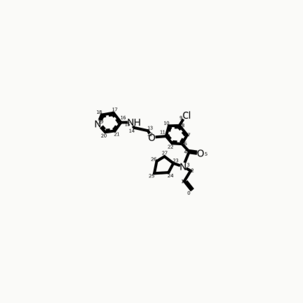 C=CCN(C(=O)c1cc(Cl)cc(OCCNc2ccncc2)c1)C1CCCC1